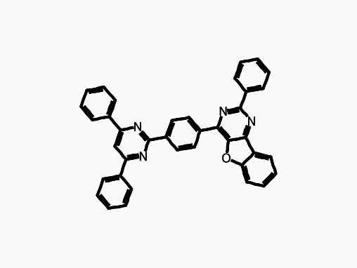 c1ccc(-c2cc(-c3ccccc3)nc(-c3ccc(-c4nc(-c5ccccc5)nc5c4oc4ccccc45)cc3)n2)cc1